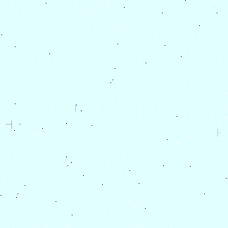 Cc1noc(-c2[c]c(F)ccc2)n1